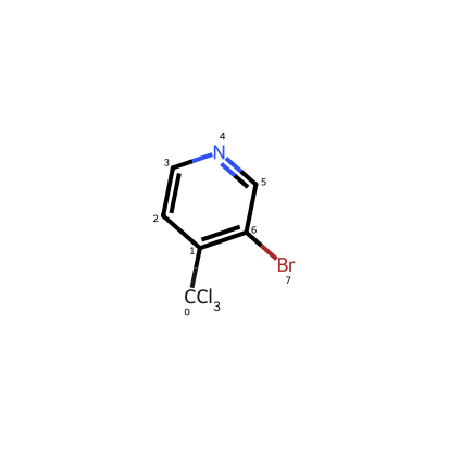 ClC(Cl)(Cl)c1ccncc1Br